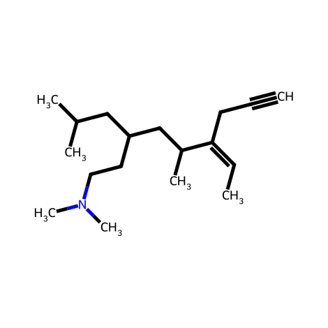 C#CCC(=CC)C(C)CC(CCN(C)C)CC(C)C